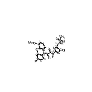 COc1ccccc1Oc1cc(F)ccc1NC(=O)C(=O)Nc1nc(CNS(C)(=O)=O)c(Cl)s1